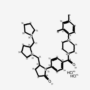 Cc1ccc(N2CCN(C(=O)c3ccc(N4C(=O)CCC4CN4CCCC4CN4CCCC4)cc3)CC2)c(C)c1.Cl.Cl